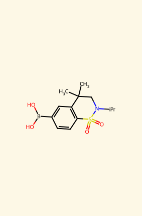 CC(C)N1CC(C)(C)c2cc(B(O)O)ccc2S1(=O)=O